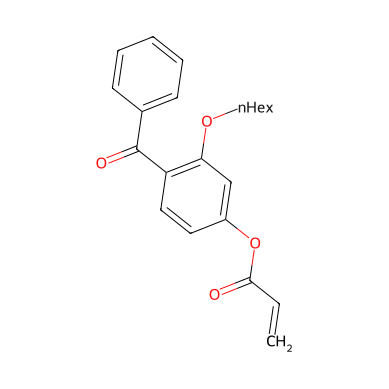 C=CC(=O)Oc1ccc(C(=O)c2ccccc2)c(OCCCCCC)c1